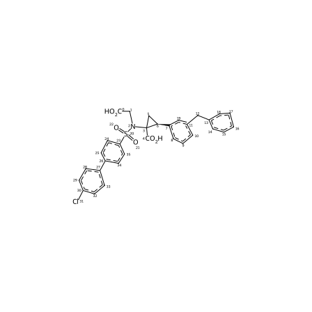 O=C(O)CN(C1(C(=O)O)C[C@H]1c1cccc(Cc2ccccc2)c1)S(=O)(=O)c1ccc(-c2ccc(Cl)cc2)cc1